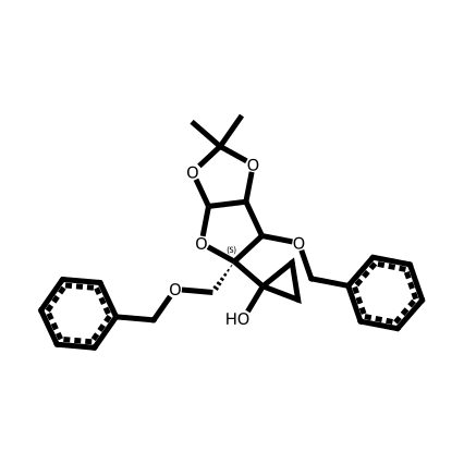 CC1(C)OC2O[C@](COCc3ccccc3)(C3(O)CC3)C(OCc3ccccc3)C2O1